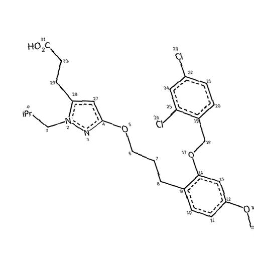 CC(C)Cn1nc(OCCCc2ccc(OC(C)C)cc2OCc2ccc(Cl)cc2Cl)cc1CCC(=O)O